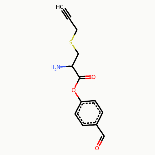 C#CCSCC(N)C(=O)Oc1ccc(C=O)cc1